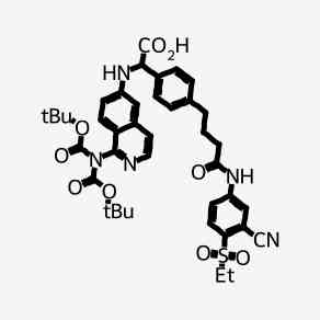 CCS(=O)(=O)c1ccc(NC(=O)CCCc2ccc(C(Nc3ccc4c(N(C(=O)OC(C)(C)C)C(=O)OC(C)(C)C)nccc4c3)C(=O)O)cc2)cc1C#N